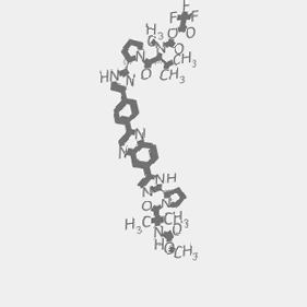 COC(=O)NC(C)(C)C(=O)N1CCC[C@H]1c1ncc(-c2ccc3nc(-c4ccc(-c5c[nH]c([C@@H]6CCCN6C(=O)[C@H](C(C)C)N(C)C(=O)OC(=O)C(F)(F)F)n5)cc4)cnc3c2)[nH]1